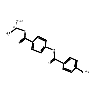 CCCCCC[C@@H](C)OC(=O)c1ccc(OC(=O)c2ccc(OC)cc2)cc1